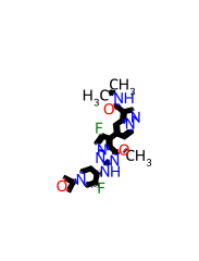 COc1nc(N[C@H]2CCN(C3COC3)C[C@@H]2F)nn2cc(F)c(-c3ccn4ncc(C(=O)NC(C)C)c4c3)c12